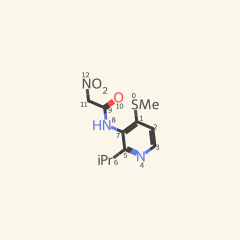 CSc1ccnc(C(C)C)c1NC(=O)C[N+](=O)[O-]